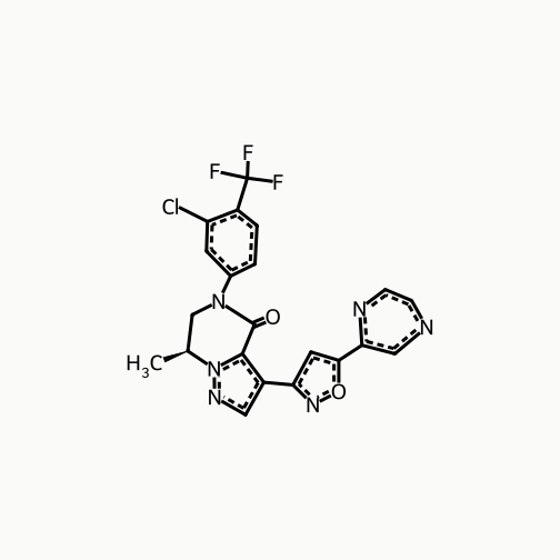 C[C@H]1CN(c2ccc(C(F)(F)F)c(Cl)c2)C(=O)c2c(-c3cc(-c4cnccn4)on3)cnn21